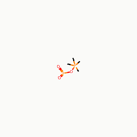 CP(C)(C)(C)OP(=O)=O